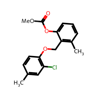 COC(=O)Oc1cccc(C)c1COc1ccc(C)cc1Cl